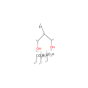 CC(=O)O.CC(=O)O.CC(=O)O.CCC(CO)CO